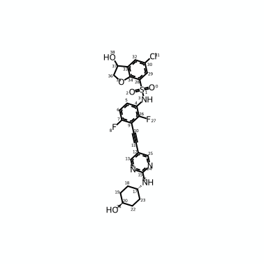 O=S(=O)(Nc1ccc(F)c(C#Cc2cnc(N[C@H]3CC[C@H](O)CC3)nc2)c1F)c1cc(Cl)cc2c1OCC2O